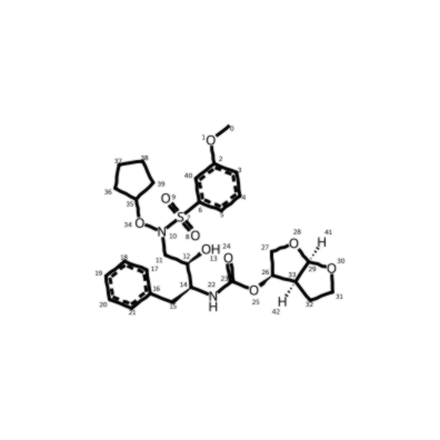 COc1cccc(S(=O)(=O)N(C[C@@H](O)[C@H](Cc2ccccc2)NC(=O)O[C@H]2CO[C@H]3OCC[C@H]32)OC2CCCC2)c1